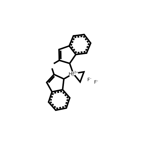 CC1=Cc2ccccc2[CH]1[Hf+2]1([CH]2C(C)=Cc3ccccc32)[CH2][CH2]1.[F-].[F-]